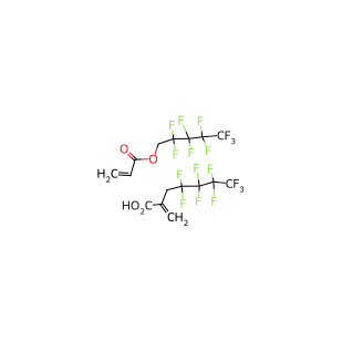 C=C(CC(F)(F)C(F)(F)C(F)(F)C(F)(F)F)C(=O)O.C=CC(=O)OCC(F)(F)C(F)(F)C(F)(F)C(F)(F)F